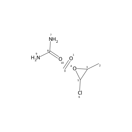 C=O.CC1OC1Cl.NC(N)=O